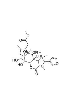 COC(=O)CC1C2(C)CC3(O)C(O)(C2O)C2OC(=O)CC4C(C)(C(OC)c5ccoc5)CCC(O)(C42O)C13C